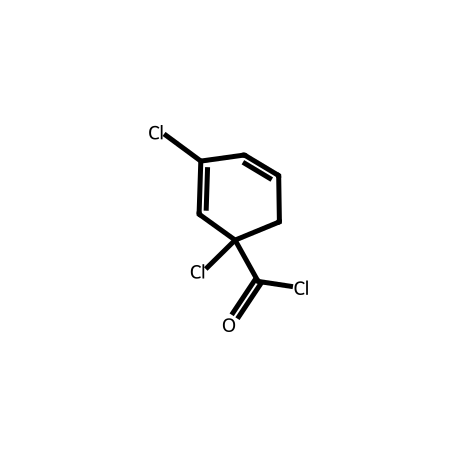 O=C(Cl)C1(Cl)C=C(Cl)C=CC1